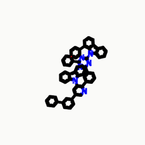 c1ccc(-c2cccc(-c3cnc(-c4cccc(-c5nc(-c6ccccc6)nc(-n6c7ccccc7c7cccc(-c8ccccc8)c76)n5)c4)c(-n4c5ccccc5c5ccccc54)c3)c2)cc1